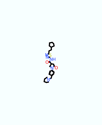 O=C(Nc1nnc(CCC2CCCCC2)s1)C1CC(=O)N(c2ccc(CN3CCCCC3)cc2)C1